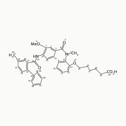 COc1cc(C(=O)N(C)c2ccccc2OCCCCCC(=O)O)ccc1NC(=O)c1cc(C)ccc1-c1ccccc1